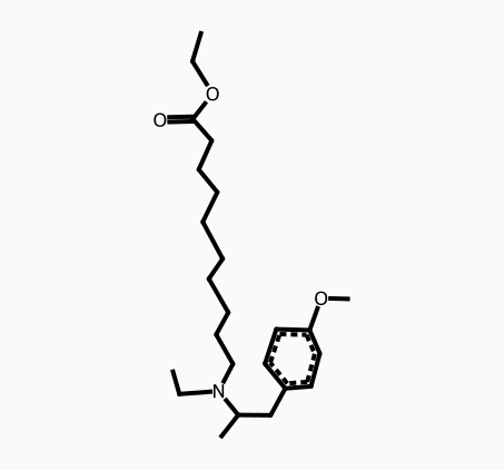 CCOC(=O)CCCCCCCCCN(CC)C(C)Cc1ccc(OC)cc1